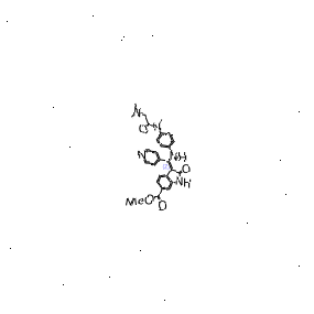 COC(=O)c1ccc2c(c1)NC(=O)/C2=C(\Nc1ccc(N(C)C(=O)CN(C)C)cc1)c1ccncc1